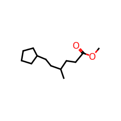 COC(=O)CCC(C)CCC1CCCC1